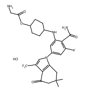 CC1(C)CC(=O)c2c(C(F)(F)F)cn(-c3cc(F)c(C(N)=O)c(NC4CCC(OC(=O)CN)CC4)c3)c2C1.Cl